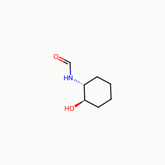 O=CN[C@@H]1CCCC[C@H]1O